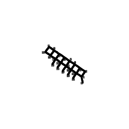 CC1CC2C3C4C5C6C7CCC7C6(C)C5(C)C4(C)C3(C)C12C